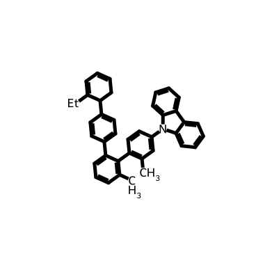 CCC1=CC=CCC1c1ccc(-c2cccc(C)c2-c2ccc(-n3c4ccccc4c4ccccc43)cc2C)cc1